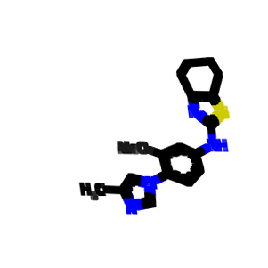 COc1cc(Nc2nc3c(s2)CCCC3)ccc1-n1cnc(C)c1